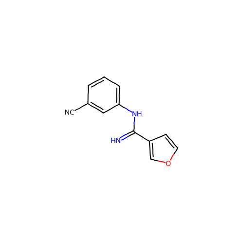 N#Cc1cccc(NC(=N)c2ccoc2)c1